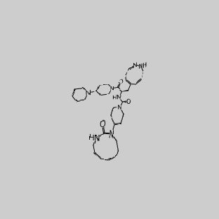 O=C(N[C@H](CC1=C/C/C=N\NC/C=C\1)C(=O)N1CCC(N2CCCCC2)CC1)N1CCC(N2CC/C=C\C=C/CNC2=O)CC1